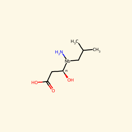 CC(C)[CH2][Nb]([NH2])[C@@H](O)CC(=O)O